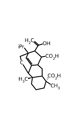 C=C(O)C1C(C(=O)O)C2CC3[C@](C)(CCC[C@@]3(C)C(=O)O)C3CCC1(C(C)C)C=C23